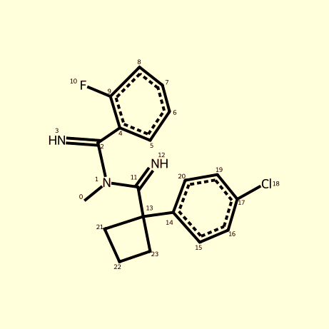 CN(C(=N)c1ccccc1F)C(=N)C1(c2ccc(Cl)cc2)CCC1